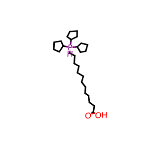 O=C(O)CCCCCCCCCCCC[PH](C1CCCC1)(C1CCCC1)C1CCCC1